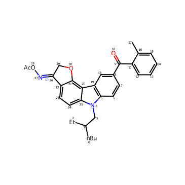 CCCCC(CC)Cn1c2ccc(C(=O)c3ccccc3C)cc2c2c3c(ccc21)/C(=N/OC(C)=O)CO3